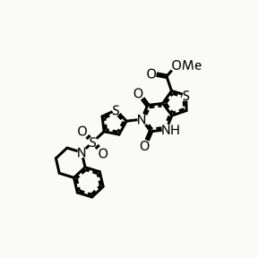 COC(=O)c1scc2[nH]c(=O)n(-c3cc(S(=O)(=O)N4CCCc5ccccc54)cs3)c(=O)c12